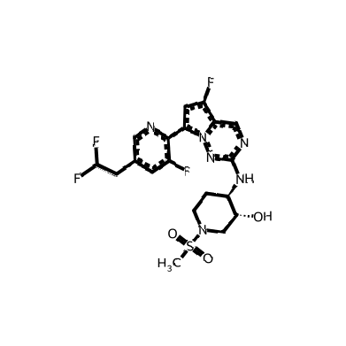 CS(=O)(=O)N1CC[C@@H](Nc2ncc3c(F)cc(-c4ncc(CC(F)F)cc4F)n3n2)[C@H](O)C1